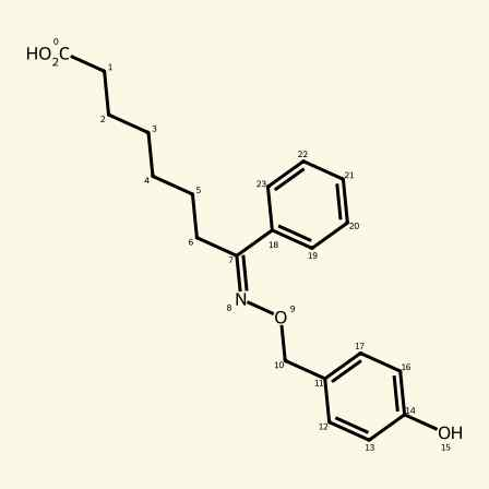 O=C(O)CCCCCCC(=NOCc1ccc(O)cc1)c1ccccc1